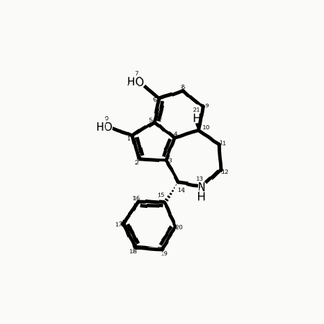 OC1=CC2=C3C1=C(O)CC[C@@H]3CCN[C@@H]2c1ccccc1